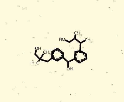 CC(CO)C(C)c1cccc(C(O)c2cccc(CC(C)(C)CO)c2)c1